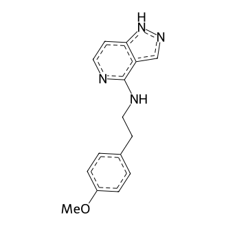 COc1ccc(CCNc2nccc3[nH]ncc23)cc1